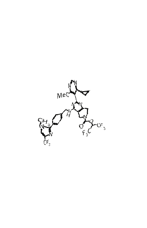 COc1ncnc(C2CC2)c1-c1nc2c(c(NCc3ccc(-c4nc(C(F)(F)F)cn4C)cc3)n1)CN(C(=O)OC(C(F)(F)F)C(F)(F)F)CC2